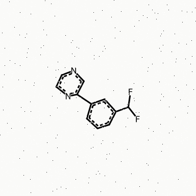 FC(F)c1cccc(-c2cnccn2)c1